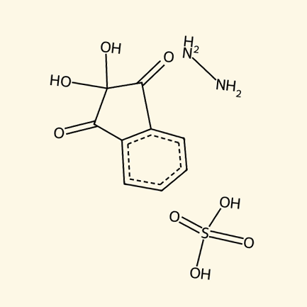 NN.O=C1c2ccccc2C(=O)C1(O)O.O=S(=O)(O)O